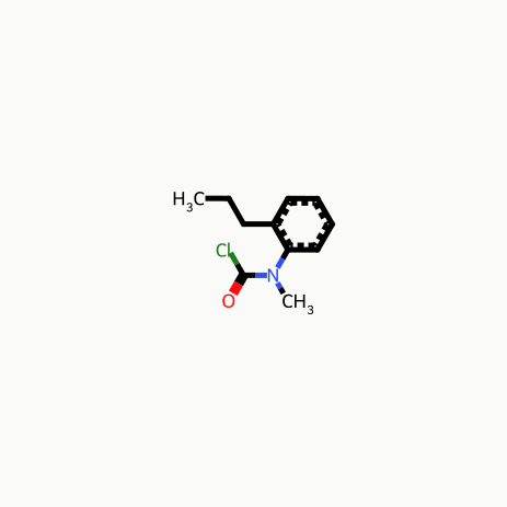 CCCc1ccccc1N(C)C(=O)Cl